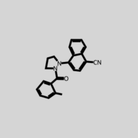 Cc1ccccc1C(=O)N1CCCN1c1ccc(C#N)c2ccccc12